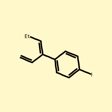 C=C/C(=C\CC)c1ccc(I)cc1